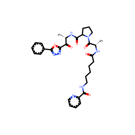 CC(C)[C@H](NC(=O)C1CCCN1C(=O)[C@@H](NC(=O)CCCCCNC(=O)c1ccccn1)C(C)C)C(=O)c1nnc(-c2ccccc2)o1